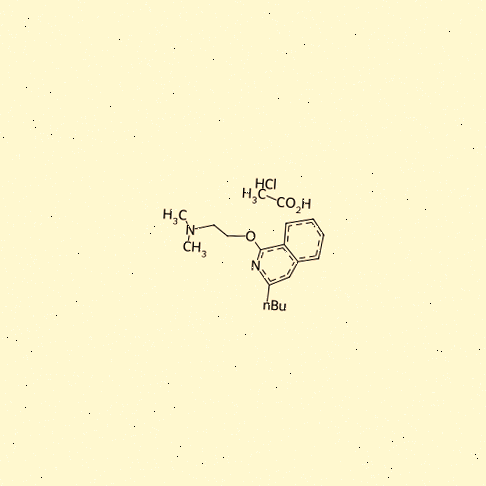 CC(=O)O.CCCCc1cc2ccccc2c(OCCN(C)C)n1.Cl